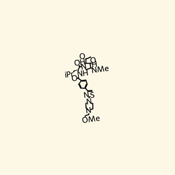 CN[C@H]1CN(C(=O)[C@H](CC(C)C)NC(=O)c2ccc(-c3csc(N4CCN(CCOC)CC4)n3)cc2)[C@@H]2C(=O)CO[C@H]12